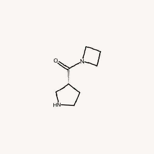 O=C([C@@H]1CCNC1)N1CCC1